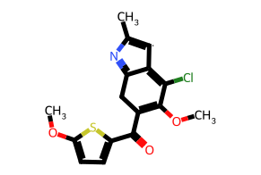 COC1=C(C(=O)c2ccc(OC)s2)CC2=NC(C)=[C]C2=C1Cl